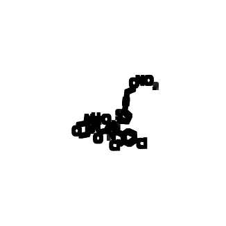 COc1c(C(=O)NN2CCOCC2)nc(-c2ccc(Cl)cc2Cl)n1-c1ccc(C#CCCO[N+](=O)[O-])s1